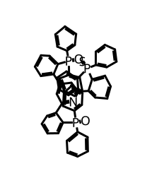 O=P(c1ccccc1)(c1ccccc1)c1ccccc1-c1cc(-c2ccccc2P(=O)(c2ccccc2)c2ccccc2)nc(-c2ccccc2P(=S)(c2ccccc2)c2ccccc2)c1